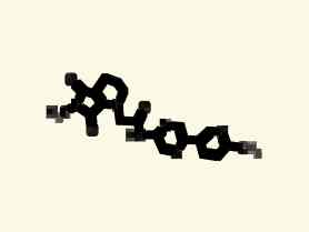 Cc1ccc(-c2cnc(NC(=O)CN3CCCC4=C3C(=O)N(C)C4=O)cn2)cn1